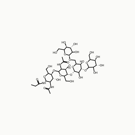 CCC(=O)N[C@@H]1OC(CO)[C@@H](OC2OC(CO)[C@@H](O[C@@H]3OC(CO[C@H]4OC(CO)[C@@H](O)[C@H](O)C4O)[C@@H](O)[C@H](OC4OC(CO)[C@@H](O)[C@H](O)C4O)C3O)[C@H](O)C2NC(C)=O)[C@H](O)C1NC(C)=O